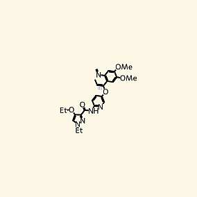 C=Nc1cc(OC)c(OC)cc1/C(=C\C)Oc1ccc(NC(=O)c2nn(CC)cc2OCC)nc1